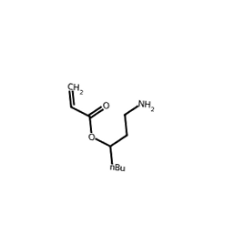 C=CC(=O)OC(CCN)CCCC